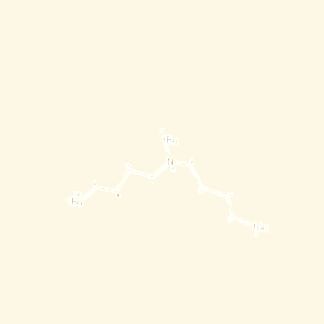 CC(C)(C)CCCCN(CCCCC(C)(C)C)C(C)(C)C